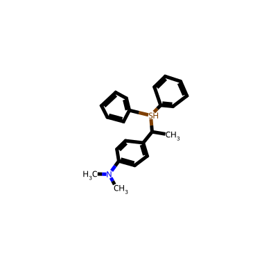 CC(c1ccc(N(C)C)cc1)[SH](c1ccccc1)c1ccccc1